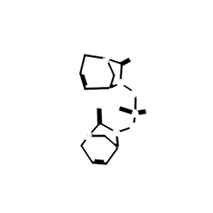 O=C1N2CC=CC(C2)N1OS(=O)(=O)ON1C(=O)N2CC=CC1C2